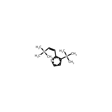 C[Si](C)(C)/C=C\c1sccc1[Si](C)(C)C